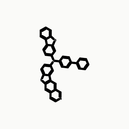 c1ccc(-c2ccc(N(c3ccc4c(c3)oc3ccccc34)c3ccc4sc5cc6ccncc6cc5c4c3)cc2)cc1